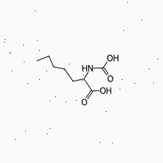 CCCCCC(NC(=O)O)C(=O)O